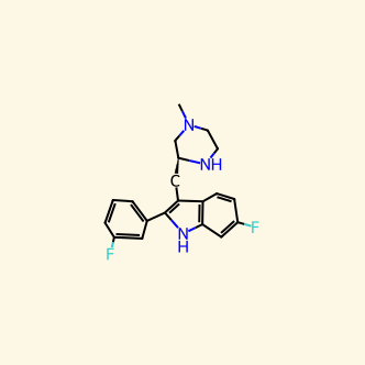 CN1CCN[C@@H](Cc2c(-c3cccc(F)c3)[nH]c3cc(F)ccc23)C1